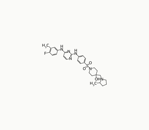 Cc1cc(Nc2ccnc(Nc3ccc(S(=O)(=O)N4CCC(O)(CN5CCCC5C)CC4)cc3)n2)ccc1F